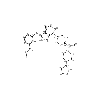 CCOc1cccc(Cn2ncc3c(N4CCN(C(=O)[C@H]5CC[C@H](N6CCCC6)CC5)CC4)ncnc32)c1